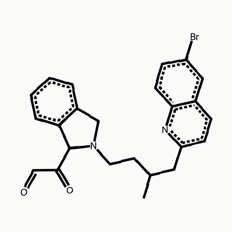 CC(CCN1Cc2ccccc2C1C(=O)C=O)Cc1ccc2cc(Br)ccc2n1